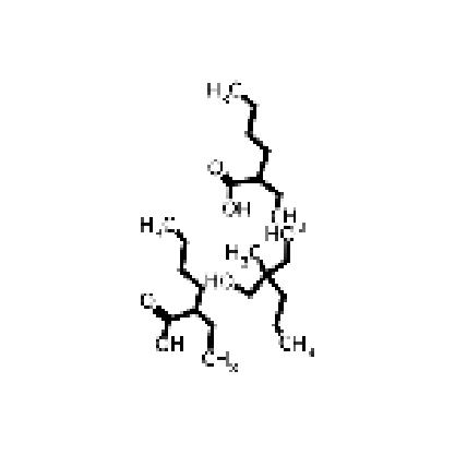 CCCC(C)(CO)CO.CCCCC(CC)C(=O)O.CCCCC(CC)C(=O)O